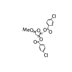 CO[C@H]1C[C@H](OC(=O)c2ccc(Cl)cc2)[C@@H](COC(=O)c2ccc(Cl)cc2)O1